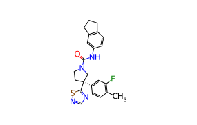 Cc1ccc([C@]2(c3ncns3)CCN(C(=O)Nc3ccc4c(c3)CCC4)C2)cc1F